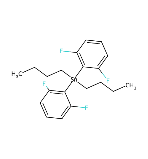 CCC[CH2][Sn]([CH2]CCC)([c]1c(F)cccc1F)[c]1c(F)cccc1F